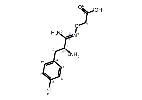 N/C(=N\OCC(=O)O)[C@@H](N)Cc1ccc(Cl)cc1